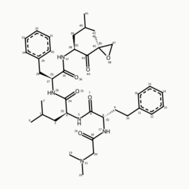 CC(C)C[C@H](NC(=O)[C@H](CCc1ccccc1)NC(=O)CN(C)C)C(=O)N[C@@H](Cc1ccccc1)C(=O)N[C@@H](CC(C)C)C(=O)[C@@]1(C)CO1